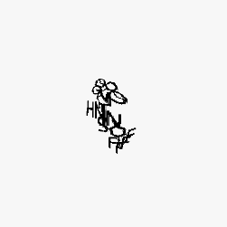 COc1cccc(OC)c1C(=O)N1CCC(Nc2nc3cc(F)c(C(F)(F)F)cc3s2)C1